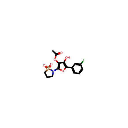 CC(=O)Oc1c(N2CCCS2(=O)=O)oc(-c2cccc(F)c2)c1O